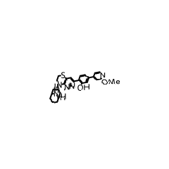 COc1cc(-c2ccc(-c3cc4c(nn3)N([C@H]3CC5CCC[C@H](C3)N5)CCS4)c(O)c2)ccn1